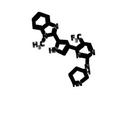 Cn1c(-c2cc(-c3nc(NC4CCCNC4)ncc3C(F)(F)F)c[nH]2)nc2ccccc21